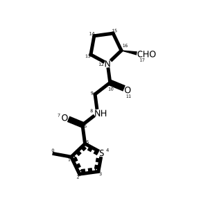 Cc1ccsc1C(=O)NCC(=O)N1CCC[C@H]1C=O